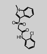 Cn1cc(S(=O)(=O)CC(=O)Nc2ccccc2Cl)c2ccccc21